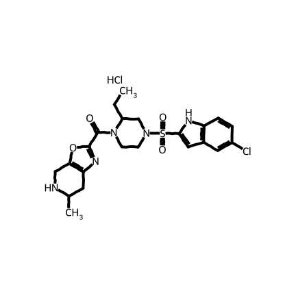 CCC1CN(S(=O)(=O)c2cc3cc(Cl)ccc3[nH]2)CCN1C(=O)c1nc2c(o1)CNC(C)C2.Cl